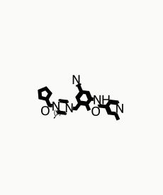 Cc1cc(C(=O)Nc2cc(C#N)cc(CN3CCN(C(=O)C4CCCC4)[C@@H](C)C3)c2C)ccn1